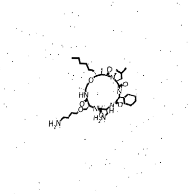 CCCCCC[C@H]1OC[C@@H](C)NC(=O)[C@H](COCCCCN)NC(=O)[C@H](CN)NC(=O)[C@H](C2CCCCC2)NC(=O)[C@H](CC(C)C)N(C)C(=O)[C@@H]1C